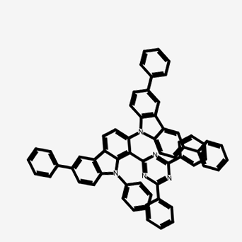 c1ccc(-c2ccc3c(c2)c2cc(-c4ccccc4)ccc2n3-c2ccc3c4cc(-c5ccccc5)ccc4n(-c4ccccc4)c3c2-c2nc(-c3ccccc3)nc(-c3ccccc3)n2)cc1